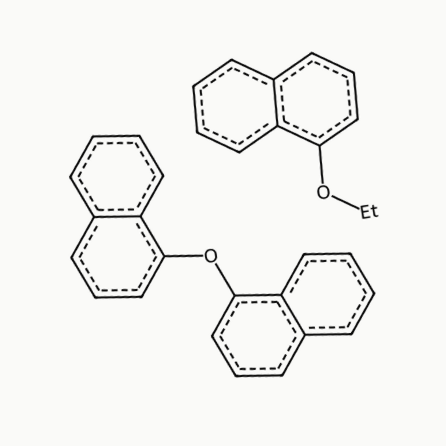 CCOc1cccc2ccccc12.c1ccc2c(Oc3cccc4ccccc34)cccc2c1